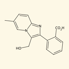 Cc1ccc2nc(-c3ccccc3C(=O)O)c(CO)n2c1